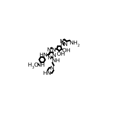 CNC1CCC(Nc2nc(NCCN3CCNCC3)nc3c2ncn3C2CC(n3ncc(CN)n3)C(O)C2O)CC1